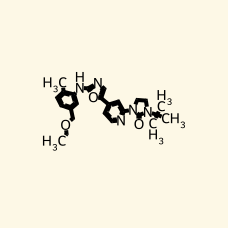 CCOCc1ccc(C)c(Nc2ncc(-c3ccnc(N4CCN(C(C)(C)C)C4=O)c3)o2)c1